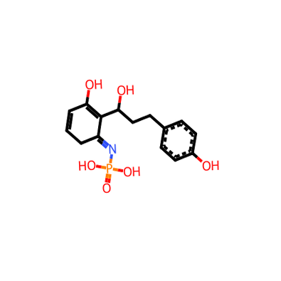 O=P(O)(O)N=C1CC=CC(O)=C1C(O)CCc1ccc(O)cc1